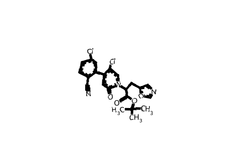 CC(C)(C)OC(=O)C(Cc1cnco1)n1cc(Cl)c(-c2cc(Cl)ccc2C#N)cc1=O